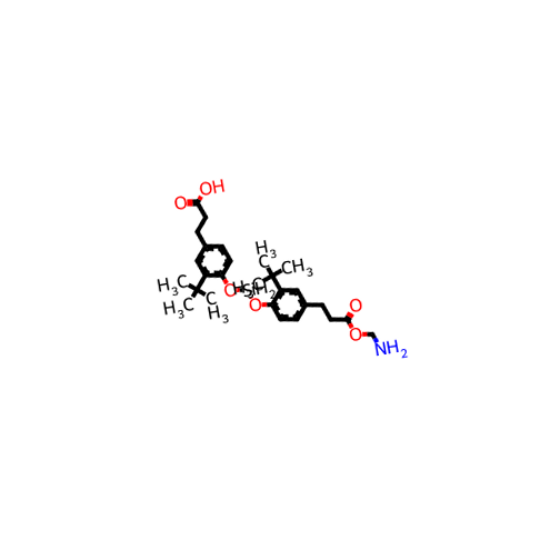 CC(C)(C)c1cc(CCC(=O)O)ccc1O[SiH2]Oc1ccc(CCC(=O)OCN)cc1C(C)(C)C